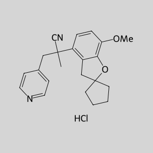 COc1ccc(C(C)(C#N)Cc2ccncc2)c2c1OC1(CCCC1)C2.Cl